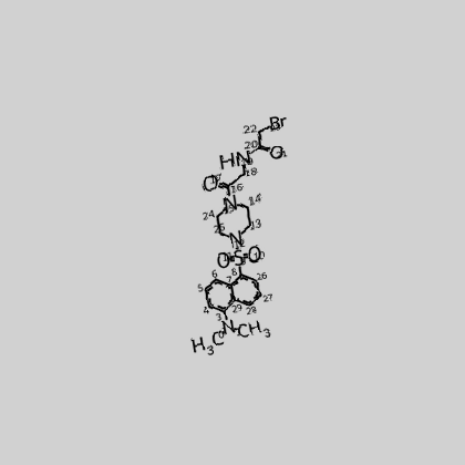 CN(C)c1cccc2c(S(=O)(=O)N3CCN(C(=O)CNC(=O)CBr)CC3)cccc12